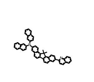 CC1(C)c2c(ccc3cc(-c4ccc5ccccc5n4)ccc23)-c2ccc3cc(N(c4ccc5ccccc5c4)c4ccc5ccccc5c4)ccc3c21